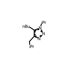 CCCCc1c(CC(C)C)nnn1C(C)C